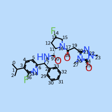 CC(C)c1ccc([C@@H](NC(=O)[C@@H]2C[C@@H](F)CN2C(=O)Cc2nn(C)c(=O)n2C)c2ccccc2)nc1F